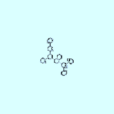 c1ccc(-c2ccc(-c3cc(-c4ccccn4)cc(-c4ccc(-c5cc(-c6ccccn6)nc(-c6ccccn6)c5)c5ccccc45)c3)nc2)nc1